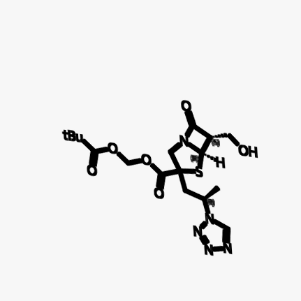 C[C@H](CC1(C(=O)OCOC(=O)C(C)(C)C)CN2C(=O)[C@H](CO)[C@H]2S1)n1cnnn1